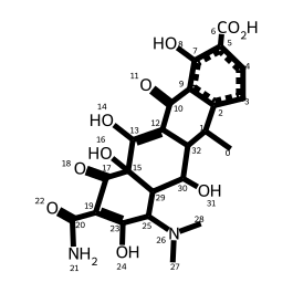 CC1c2ccc(C(=O)O)c(O)c2C(=O)C2=C(O)C3(O)C(=O)C(C(N)=O)=C(O)C(N(C)C)C3C(O)C21